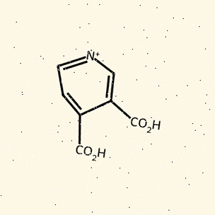 O=C(O)C1=CC=[N+]C=C1C(=O)O